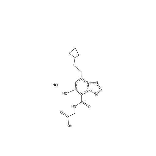 Cl.O=C(O)CNC(=O)c1c(O)cc(CCC2CCC2)n2ncnc12